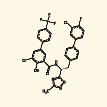 Cc1noc([C@@H](Cc2ccc(-c3ccc(F)c(Cl)c3)cc2)NC(=O)c2cc(-c3ccc(C(F)(F)F)cc3)cc(Cl)c2O)n1